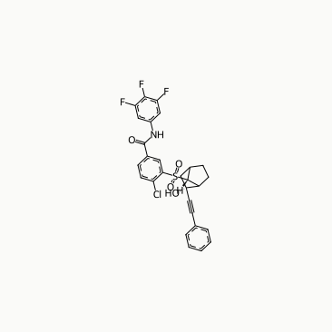 O=C(Nc1cc(F)c(F)c(F)c1)c1ccc(Cl)c(S(=O)(=O)[C@@H]2C3CCC2[C@@](O)(C#Cc2ccccc2)C3)c1